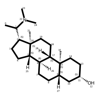 CC([C@H]1CC[C@H]2[C@@H]3CC[C@H]4C[C@@H](O)CC[C@]4(C)[C@H]3CC[C@]12C)N(C)C